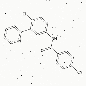 N#Cc1ccc(C(=O)Nc2ccc(Cl)c(-c3ccccn3)c2)cc1